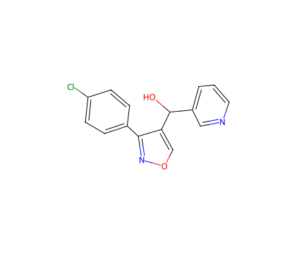 OC(c1cccnc1)c1conc1-c1ccc(Cl)cc1